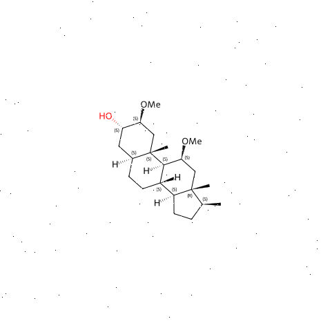 CO[C@H]1C[C@]2(C)[C@@H](C)CC[C@H]2[C@@H]2CC[C@H]3C[C@H](O)[C@@H](OC)C[C@]3(C)[C@H]21